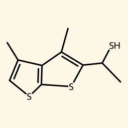 Cc1csc2sc(C(C)S)c(C)c12